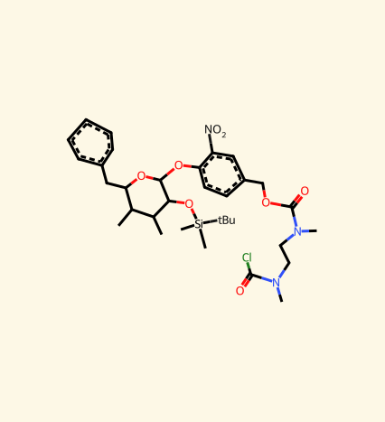 CC1C(Cc2ccccc2)OC(Oc2ccc(COC(=O)N(C)CCN(C)C(=O)Cl)cc2[N+](=O)[O-])C(O[Si](C)(C)C(C)(C)C)C1C